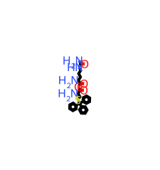 NC(=O)NCCC[C@@H](N)C(=O)OC(=O)[C@H](N)CSC(c1ccccc1)(c1ccccc1)c1ccccc1